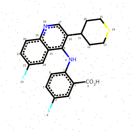 O=C(O)c1cc(F)ccc1Nc1c(C2CCSCC2)cnc2ccc(F)cc12